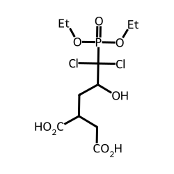 CCOP(=O)(OCC)C(Cl)(Cl)C(O)CC(CC(=O)O)C(=O)O